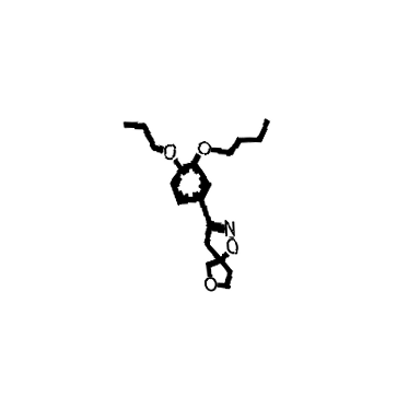 CCCCOc1cc(C2=NOC3(CCOC3)C2)ccc1OCCC